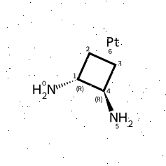 N[C@@H]1CC[C@H]1N.[Pt]